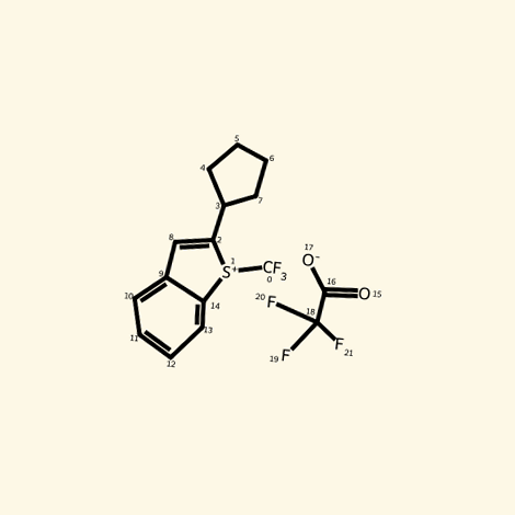 FC(F)(F)[s+]1c(C2CCCC2)cc2ccccc21.O=C([O-])C(F)(F)F